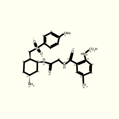 CSc1ccc(S(=O)(=O)C[C@@H]2CC[C@@H](N)C[C@@H]2NC(=O)CNC(=O)c2cc(C(F)(F)F)ccc2NC(=O)O)cc1